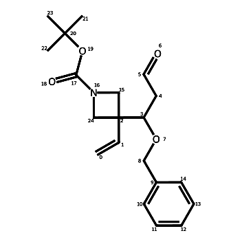 C=CC1(C(CC=O)OCc2ccccc2)CN(C(=O)OC(C)(C)C)C1